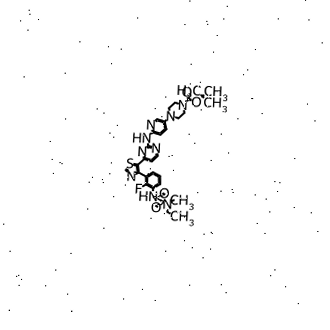 CCN(C)S(=O)(=O)Nc1cccc(-c2ncsc2-c2ccnc(Nc3ccc(N4CCN(C(=O)OC(C)(C)C)CC4)cn3)n2)c1F